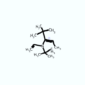 C=CN(/C(=C\C)C(C)(C)C)C(C)(C)C